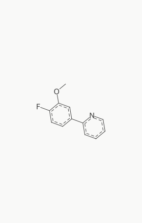 COc1cc(-c2ccccn2)ccc1F